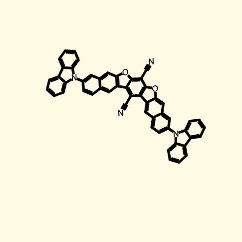 N#Cc1c2oc3cc4cc(-n5c6ccccc6c6ccccc65)ccc4cc3c2c(C#N)c2c1oc1cc3cc(-n4c5ccccc5c5ccccc54)ccc3cc12